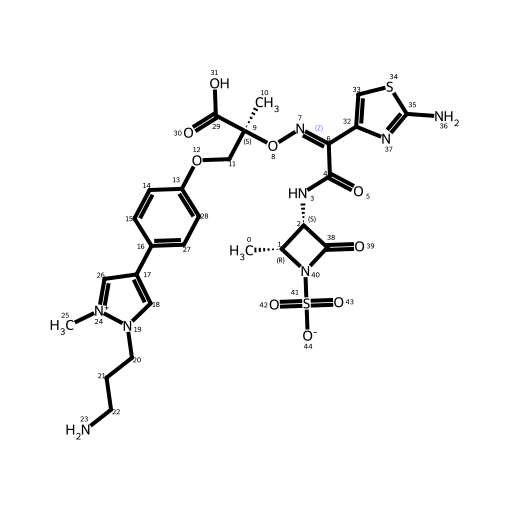 C[C@@H]1[C@H](NC(=O)/C(=N\O[C@@](C)(COc2ccc(-c3cn(CCCN)[n+](C)c3)cc2)C(=O)O)c2csc(N)n2)C(=O)N1S(=O)(=O)[O-]